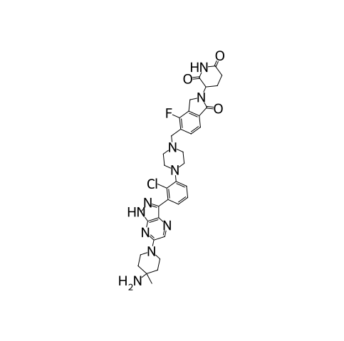 CC1(N)CCN(c2cnc3c(-c4cccc(N5CCN(Cc6ccc7c(c6F)CN(C6CCC(=O)NC6=O)C7=O)CC5)c4Cl)n[nH]c3n2)CC1